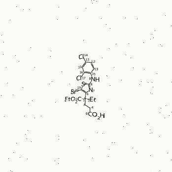 CCOC(=O)C(CC)(CCC(=O)O)c1nc(Nc2ccc(Cl)cc2Cl)sc1Br